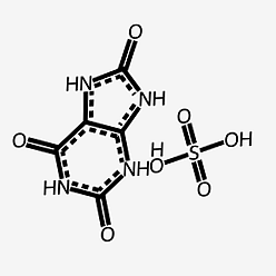 O=S(=O)(O)O.O=c1[nH]c(=O)c2[nH]c(=O)[nH]c2[nH]1